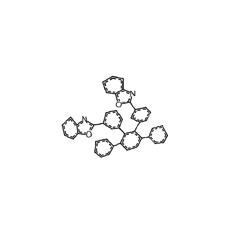 c1ccc(-c2ccc(-c3ccccc3)c(-c3cccc(-c4nc5ccccc5o4)c3)c2-c2cccc(-c3nc4ccccc4o3)c2)cc1